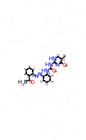 BC(=O)c1ccccc1/N=N/c1ccccc1NC(=O)Nc1nc(=O)c(C)c[nH]1